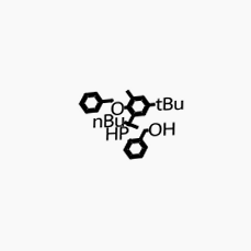 CCCCC(C)(Pc1ccccc1CO)c1cc(C(C)(C)C)cc(C)c1OCc1ccccc1